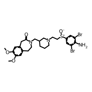 COc1cc2c(cc1OC)CC(=O)N(CC1CCCN(CC[S+]([O-])c3cc(Br)c(N)c(Br)c3)C1)CC2